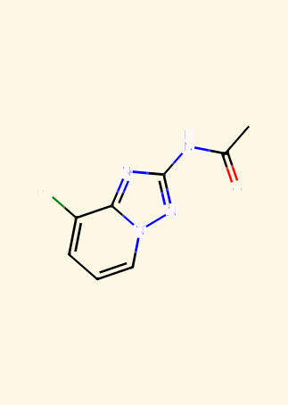 CC(=O)Nc1nc2c(Br)cccn2n1